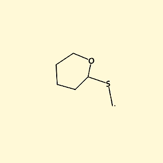 [CH2]SC1CCCCO1